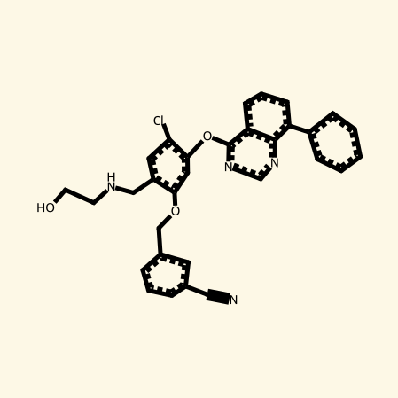 N#Cc1cccc(COc2cc(Oc3ncnc4c(-c5ccccc5)cccc34)c(Cl)cc2CNCCO)c1